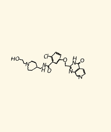 O=C(NCC1CCN(CCO)CC1)c1cc(OCc2nc3cnccc3c(=O)[nH]2)ccc1Cl